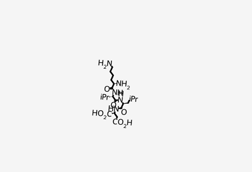 CC(C)C[C@H](NC(=O)[C@@H](NC(=O)[C@@H](N)CCCCN)C(C)C)C(=O)N[C@@H](CC(=O)O)C(=O)O